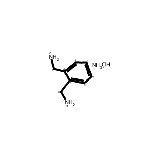 Cl.N.NCc1ccccc1CN